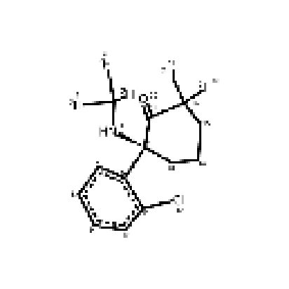 [2H]C([2H])([2H])N[C@]1(c2ccccc2Cl)CCCC([2H])([2H])C1=O